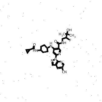 CC(C)(O)C(F)CNC(=O)c1cnc(-n2ncc3cc(C#N)cnc32)cc1NC1CCC(NC(=O)C2CC2)CC1